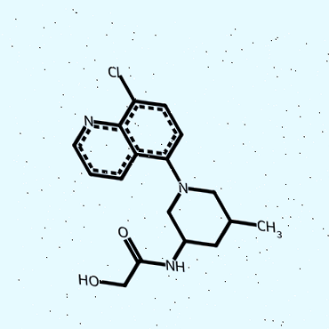 CC1CC(NC(=O)CO)CN(c2ccc(Cl)c3ncccc23)C1